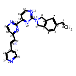 C=Cc1ccc2c(c1)CN(c1nccc(-c3nccc(/C=C/c4ccncc4)n3)n1)C2